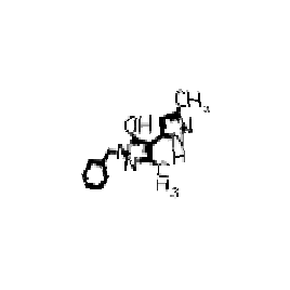 Cc1cc(-c2c(C)nn(Cc3ccccc3)c2O)[nH]n1